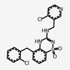 O=S1(=O)N=C(NCc2cnccc2Cl)Nc2c(Cc3ccccc3Cl)cccc21